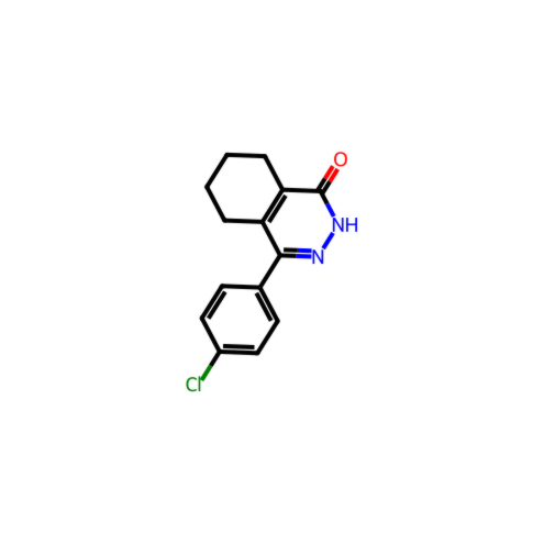 O=c1[nH]nc(-c2ccc(Cl)cc2)c2c1CCCC2